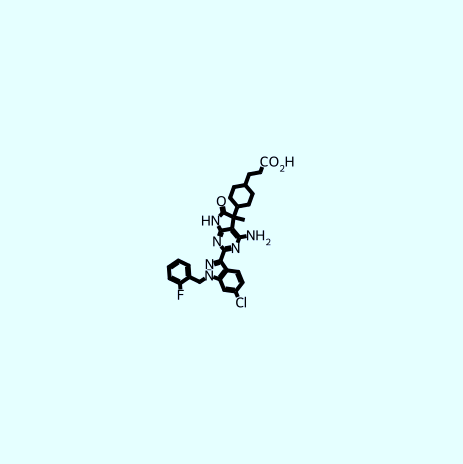 CC1(C2CCC(CCC(=O)O)CC2)C(=O)Nc2nc(-c3nn(Cc4ccccc4F)c4cc(Cl)ccc34)nc(N)c21